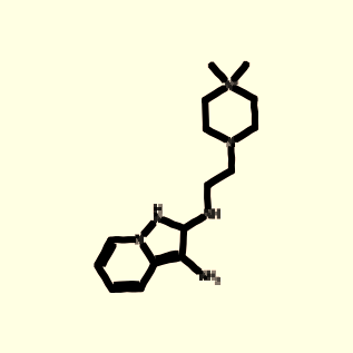 C[N+]1(C)CCN(CCNC2NN3C=CC=CC3=C2N)CC1